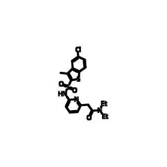 CCN(CC)C(=O)Cc1cccc(NS(=O)(=O)c2sc3ccc(Cl)cc3c2C)n1